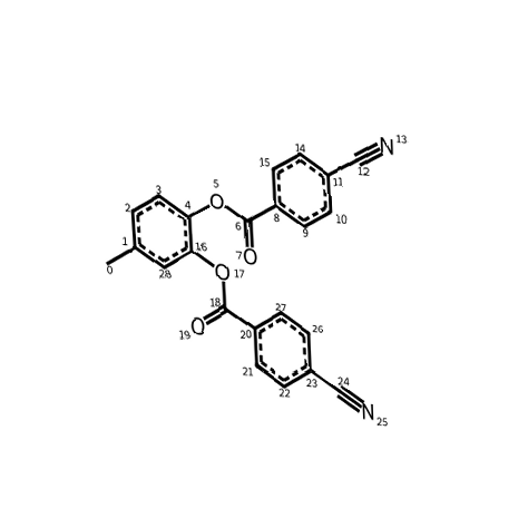 Cc1ccc(OC(=O)c2ccc(C#N)cc2)c(OC(=O)c2ccc(C#N)cc2)c1